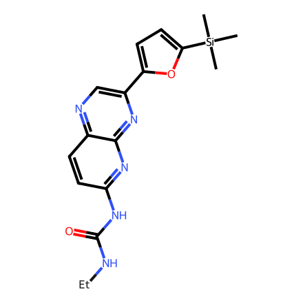 CCNC(=O)Nc1ccc2ncc(-c3ccc([Si](C)(C)C)o3)nc2n1